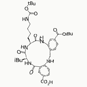 CCC(C)[C@@H]1NC(=O)c2cc(C(=O)O)ccc2NCc2ccc(C(=O)OCC(C)C)cc2NC(=O)[C@H](CCCCNC(=O)OC(C)(C)C)NC1=O